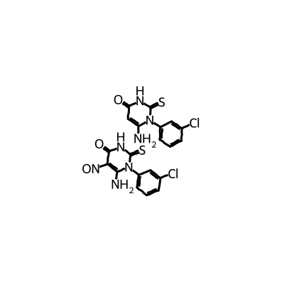 Nc1c(N=O)c(=O)[nH]c(=S)n1-c1cccc(Cl)c1.Nc1cc(=O)[nH]c(=S)n1-c1cccc(Cl)c1